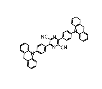 N#Cc1nc(-c2ccc(N3c4ccccc4Cc4ccccc43)cc2)c(C#N)nc1-c1ccc(N2C3=C(CCC=C3)Cc3ccccc32)cc1